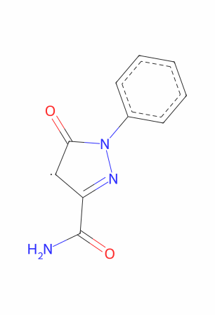 NC(=O)C1=NN(c2ccccc2)C(=O)[CH]1